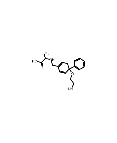 CC(NCC1=CCC(OCCN)(c2ccccc2)C=C1)C(=O)O